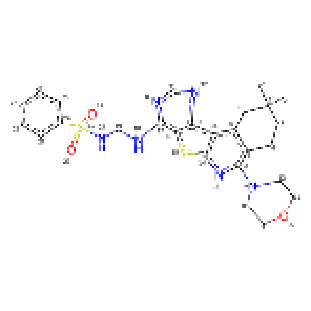 CC1(C)CCc2c(N3CCOCC3)nc3sc4c(NCNS(=O)(=O)c5ccccc5)ncnc4c3c2C1